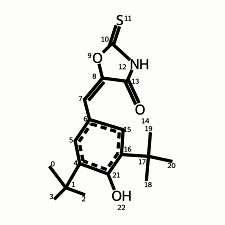 CC(C)(C)c1cc(C=C2OC(=S)NC2=O)cc(C(C)(C)C)c1O